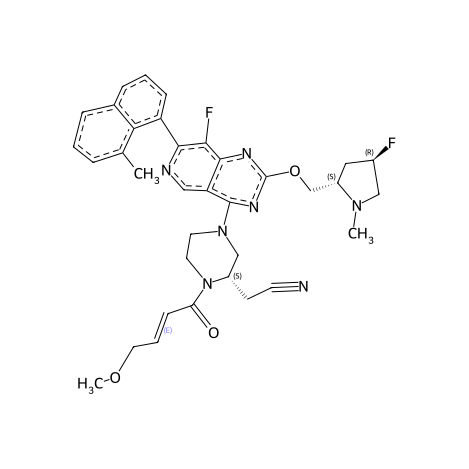 COC/C=C/C(=O)N1CCN(c2nc(OC[C@@H]3C[C@@H](F)CN3C)nc3c(F)c(-c4cccc5cccc(C)c45)ncc23)C[C@@H]1CC#N